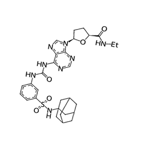 CCNC(=O)[C@@H]1CC[C@H](n2cnc3c(NC(=O)Nc4cccc(S(=O)(=O)NC56CC7CC(CC(C7)C5)C6)c4)ncnc32)O1